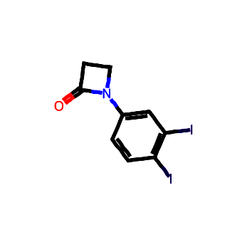 O=C1CCN1c1ccc(I)c(I)c1